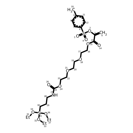 C=C(OS(=O)(=O)c1ccc(C)cc1)C(=O)OCCOCCOCCOC(=O)NCCC[Si](OCC)(OCC)OCC